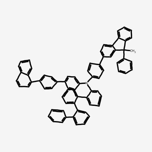 CC1(c2ccccc2)c2ccccc2-c2ccc(-c3ccc(N(c4ccc(-c5ccc(-c6cccc7ccccc67)cc5)cc4)c4ccccc4-c4ccccc4-c4ccccc4-c4ccccc4)cc3)cc21